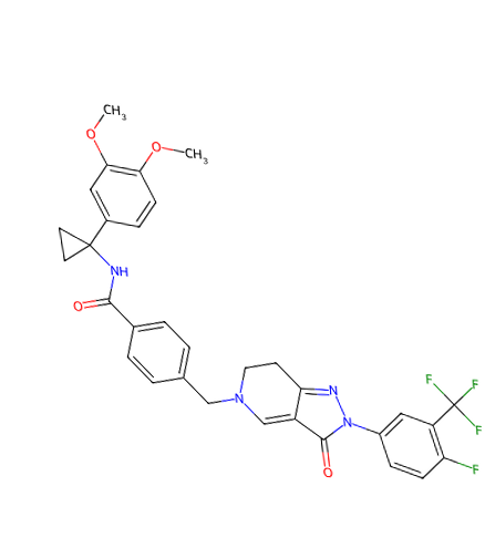 COc1ccc(C2(NC(=O)c3ccc(CN4C=C5C(=O)N(c6ccc(F)c(C(F)(F)F)c6)N=C5CC4)cc3)CC2)cc1OC